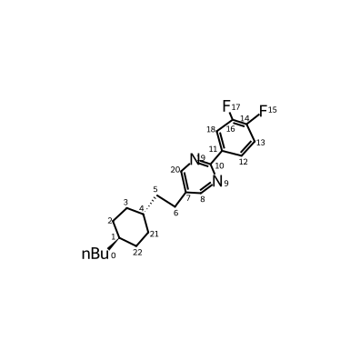 CCCC[C@H]1CC[C@H](CCc2cnc(-c3ccc(F)c(F)c3)nc2)CC1